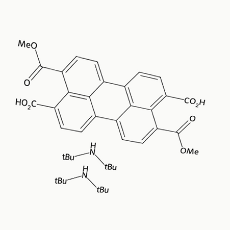 CC(C)(C)NC(C)(C)C.CC(C)(C)NC(C)(C)C.COC(=O)c1ccc2c3ccc(C(=O)O)c4c(C(=O)OC)ccc(c5ccc(C(=O)O)c1c52)c43